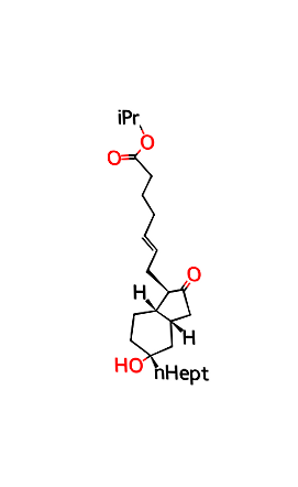 CCCCCCC[C@@]1(O)CC[C@H]2[C@H](CC(=O)[C@@H]2CC=CCCCC(=O)OC(C)C)C1